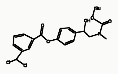 CN(CC(O)c1ccc(OC(=O)c2cccc(C(Cl)Cl)c2)cc1)C(=O)OC(C)(C)C